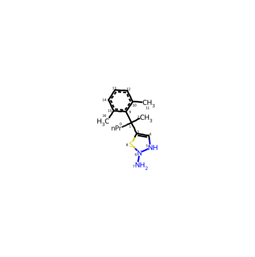 CCCC(C)(C1=CNN(N)S1)c1c(C)cccc1C